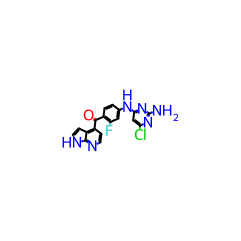 Nc1nc(Cl)cc(Nc2ccc(C(=O)c3ccnc4[nH]ccc34)c(F)c2)n1